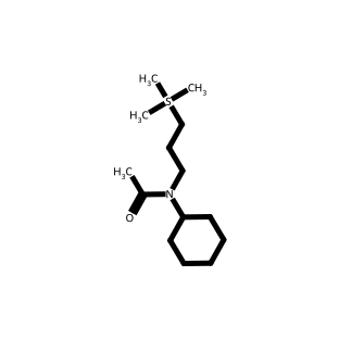 CC(=O)N(CCCS(C)(C)C)C1CCCCC1